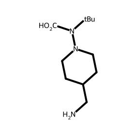 CC(C)(C)N(C(=O)O)N1CCC(CN)CC1